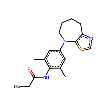 Cc1cc(N2CCCCc3ncsc32)cc(C)c1NC(=O)CC(C)(C)C